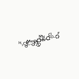 CCC(OCCS(C)(=O)=O)C1(c2cc3c(Nc4ccc(OCc5cccc(F)c5)c(Cl)c4)ncnc3cc2OC)CC=CO1